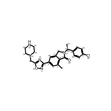 Cc1cc(-c2noc(CN3CCNCC3)n2)cc2c1C(=O)N([C@@H](C)c1ccc(Cl)cc1)C2